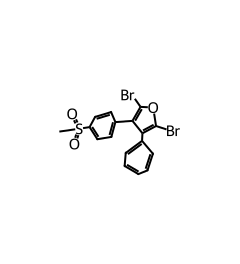 CS(=O)(=O)c1ccc(-c2c(Br)oc(Br)c2-c2ccccc2)cc1